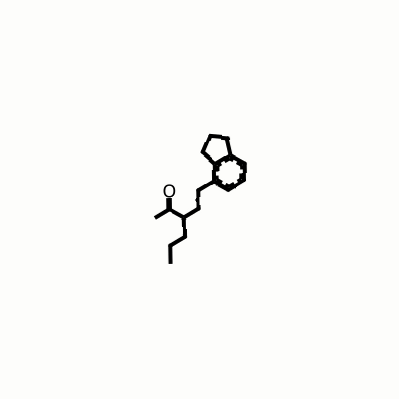 CCCC(CCc1cccc2c1CCC2)C(C)=O